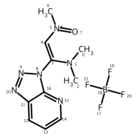 CN(C)C(=C[N+](C)=O)n1nnc2cccnc21.F[B-](F)(F)F